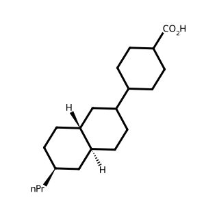 CCC[C@H]1CC[C@@H]2CC(C3CCC(C(=O)O)CC3)CC[C@H]2C1